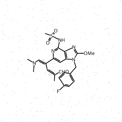 COc1nc2c(NS(C)(=O)=O)nc(C(/C=C(/C)C=O)=C/N(C)C)cc2n1Cc1ccc(F)cc1